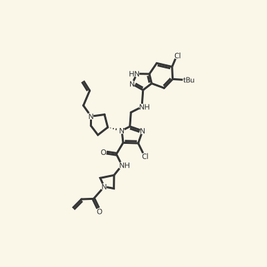 C=CCN1CC[C@@H](n2c(CNc3n[nH]c4cc(Cl)c(C(C)(C)C)cc34)nc(Cl)c2C(=O)NC2CN(C(=O)C=C)C2)C1